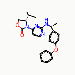 CC(C)[C@H]1COC(=O)N1c1ccnc(N[C@@H](C)c2ccc(Oc3ccccc3)cc2)n1